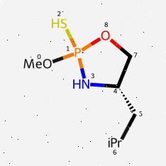 CO[P]1(S)N[C@@H](CC(C)C)CO1